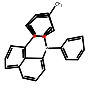 FC(F)(F)c1ccc(-c2cccc3cccc(P(c4ccccc4)c4ccccc4)c23)cc1